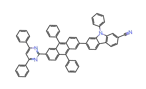 N#Cc1ccc2c3ccc(-c4ccc5c(-c6ccccc6)c6cc(-c7nc(-c8ccccc8)cc(-c8ccccc8)n7)ccc6c(-c6ccccc6)c5c4)cc3n(-c3ccccc3)c2c1